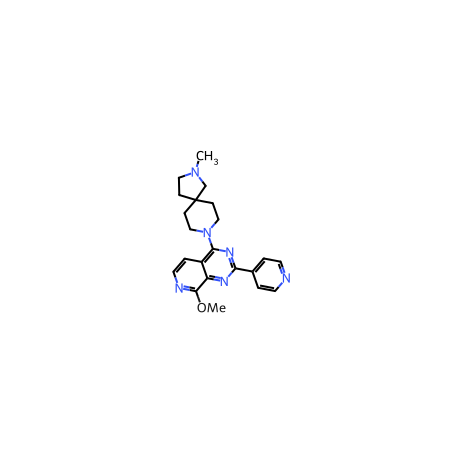 COc1nccc2c(N3CCC4(CCN(C)C4)CC3)nc(-c3ccncc3)nc12